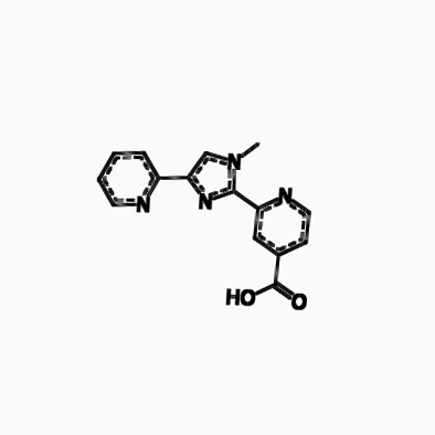 Cn1cc(-c2ccccn2)nc1-c1cc(C(=O)O)ccn1